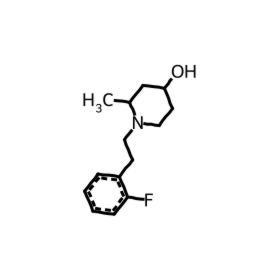 CC1CC(O)CCN1CCc1ccccc1F